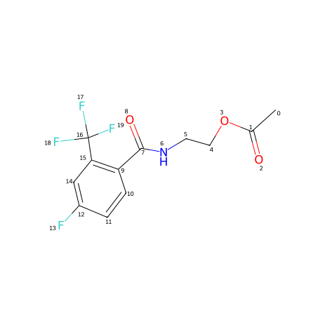 CC(=O)OCCNC(=O)c1ccc(F)cc1C(F)(F)F